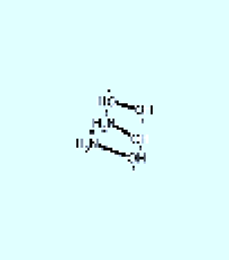 NO.NO.OO